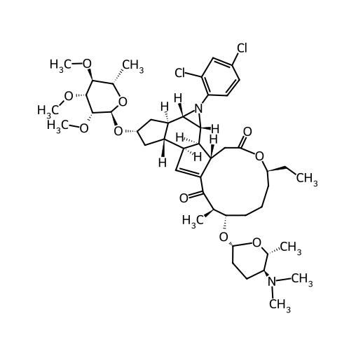 CC[C@H]1CCC[C@H](O[C@H]2CC[C@H](N(C)C)[C@@H](C)O2)[C@@H](C)C(=O)C2=C[C@H]3[C@@H]4C[C@H](O[C@@H]5O[C@@H](C)[C@H](OC)[C@@H](OC)[C@H]5OC)C[C@H]4[C@H]4[C@@H]([C@H]3[C@@H]2CC(=O)O1)N4c1ccc(Cl)cc1Cl